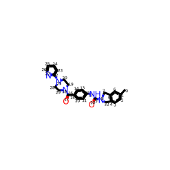 Cc1ccc2c(c1)CN(C(=O)Nc1ccc(C(=O)N3CCN(c4ccccn4)CC3)cc1)C2